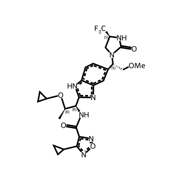 COC[C@H](c1ccc2[nH]c([C@@H](NC(=O)c3nonc3C3CC3)[C@@H](C)OC3CC3)nc2c1)N1C[C@@H](C(F)(F)F)NC1=O